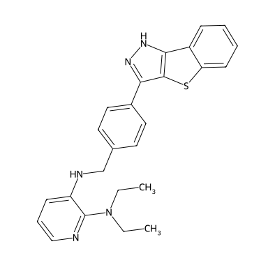 CCN(CC)c1ncccc1NCc1ccc(-c2n[nH]c3c2sc2ccccc23)cc1